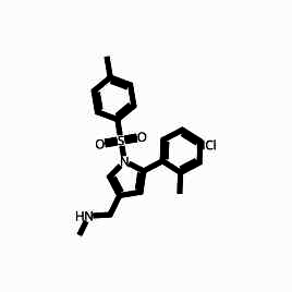 CNCc1cc(-c2ccccc2C)n(S(=O)(=O)c2ccc(C)cc2)c1.Cl